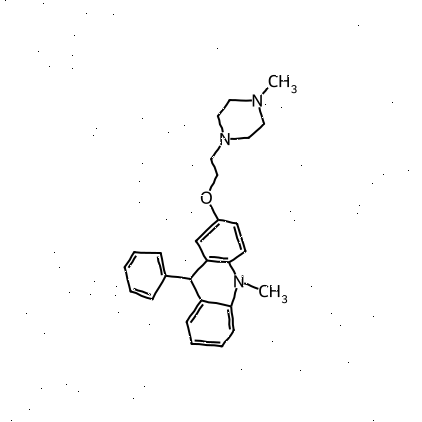 CN1CCN(CCOc2ccc3c(c2)C(c2ccccc2)c2ccccc2N3C)CC1